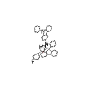 CC1(c2ccccc2N(c2ccc(-c3ccc(F)cc3)cc2)c2ccc3c(c2)c2ccccc2n3-c2ccccc2)c2ccccc2-c2ccccc21